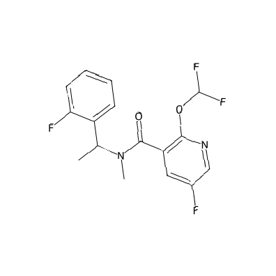 CC(c1ccccc1F)N(C)C(=O)c1cc(F)cnc1OC(F)F